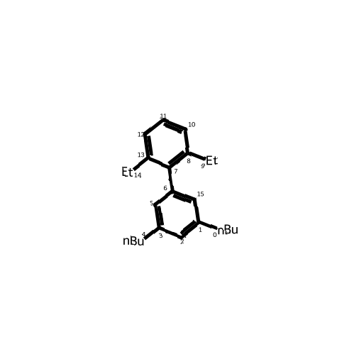 CCCCc1[c]c(CCCC)cc(-c2c(CC)cccc2CC)c1